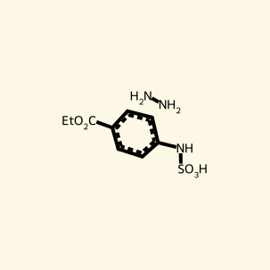 CCOC(=O)c1ccc(NS(=O)(=O)O)cc1.NN